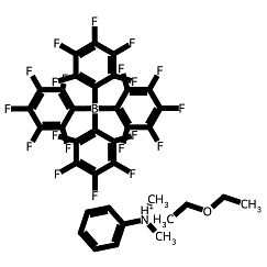 CCOCC.C[NH+](C)c1ccccc1.Fc1c(F)c(F)c([B-](c2c(F)c(F)c(F)c(F)c2F)(c2c(F)c(F)c(F)c(F)c2F)c2c(F)c(F)c(F)c(F)c2F)c(F)c1F